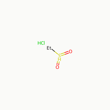 CC[SH](=O)=O.Cl